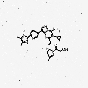 CC1=CN(C(=O)CO)[C@@H](CCc2nc3c(-c4ccc(-c5nc(C)c(C)[nH]5)nc4)cnn3c(N)c2C2CC2)C1